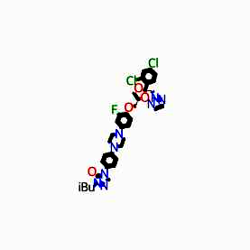 CCC(C)n1ncn(-c2ccc(N3CCN(c4ccc(OC[C@@H]5CO[C@@](Cn6nccn6)(c6ccc(Cl)cc6Cl)O5)c(F)c4)CC3)cc2)c1=O